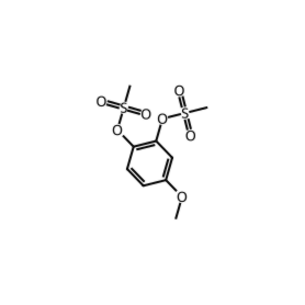 COc1ccc(OS(C)(=O)=O)c(OS(C)(=O)=O)c1